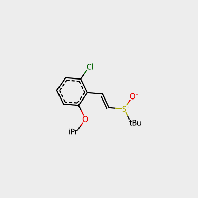 CC(C)Oc1cccc(Cl)c1/C=C/[S+]([O-])C(C)(C)C